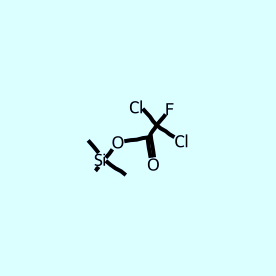 C[Si](C)(C)OC(=O)C(F)(Cl)Cl